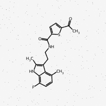 CC(=O)c1ccc(C(=O)NCCc2c(C)[nH]c3c(F)ccc(C)c23)s1